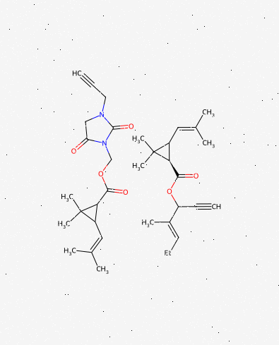 C#CC(OC(=O)[C@@H]1C(C=C(C)C)C1(C)C)/C(C)=C/CC.C#CCN1CC(=O)N(COC(=O)C2C(C=C(C)C)C2(C)C)C1=O